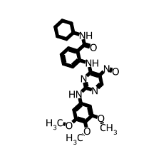 COc1cc(Nc2ncc(N=O)c(Nc3ccccc3C(=O)NC3CCCCC3)n2)cc(OC)c1OC